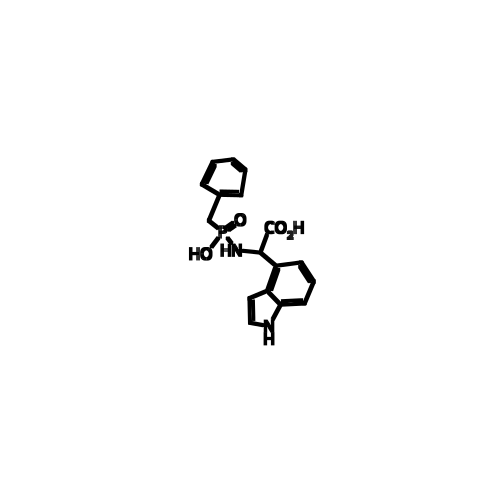 O=C(O)C(NP(=O)(O)Cc1ccccc1)c1cccc2[nH]ccc12